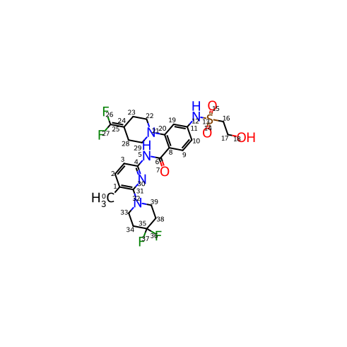 Cc1ccc(NC(=O)c2ccc(NS(=O)(=O)CCO)cc2N2CCC(=C(F)F)CC2)nc1N1CCC(F)(F)CC1